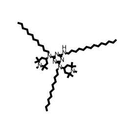 CCCCCCCCCCCCCCNc1nc(N(CCCCCCCCCCCC)C2CC(C)(C)N(C)C(C)(C)C2)nc(N(CCCCCCCCCCCC)C2CC(C)(C)N(C)C(C)(C)C2)n1